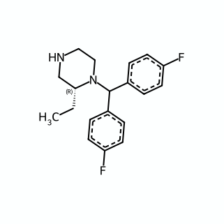 CC[C@@H]1CNCCN1C(c1ccc(F)cc1)c1ccc(F)cc1